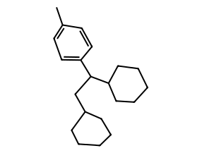 Cc1ccc(C(CC2CCCCC2)C2CCCCC2)cc1